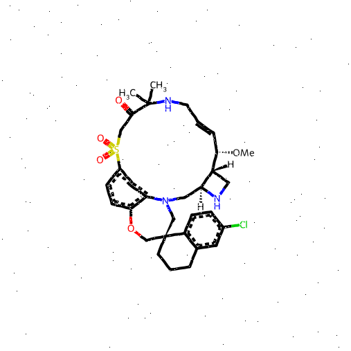 CO[C@H]1/C=C/CNC(C)(C)C(=O)CS(=O)(=O)c2ccc3c(c2)N(C[C@@H]2NC[C@H]21)C[C@@]1(CCCc2cc(Cl)ccc21)CO3